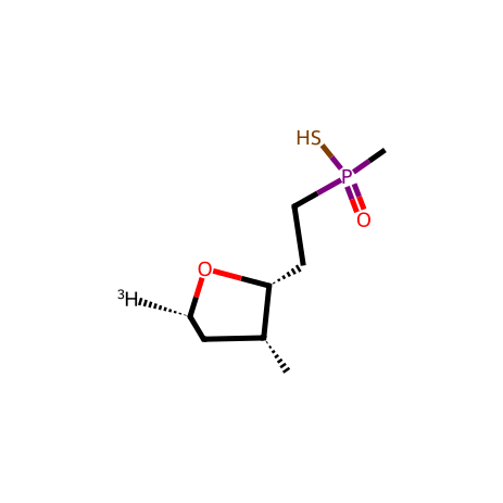 [3H][C@H]1C[C@@H](C)[C@@H](CCP(C)(=O)S)O1